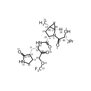 CC(C)[C@@H](O)C(=O)N1[C@H](C(=O)N[C@@H](C[C@@H]2CCNC2=O)C(=O)COC(F)(F)F)C[C@@]2(C)C[C@@H]12